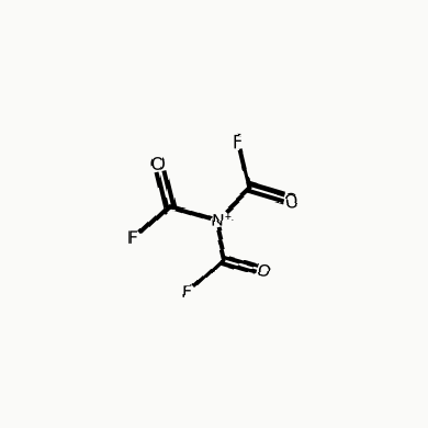 O=C(F)[N+](C(=O)F)C(=O)F